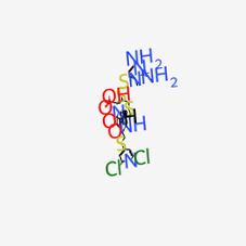 C[n+]1c(SCSC2=C(C(=O)O)N3C(=O)[C@@H](NC(=O)CSc4cc(Cl)nc(Cl)c4)[C@H]3SC2)cc(N)nc1N